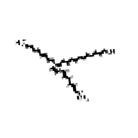 CCCCCCCCCCCCc1n(CCCCCCCCC)cc[n+]1CCCCCCCC